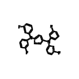 Fc1cccc(N(c2ccc(N(c3cccc(F)c3)c3cccc(F)c3)cc2)c2cccc(F)c2)c1